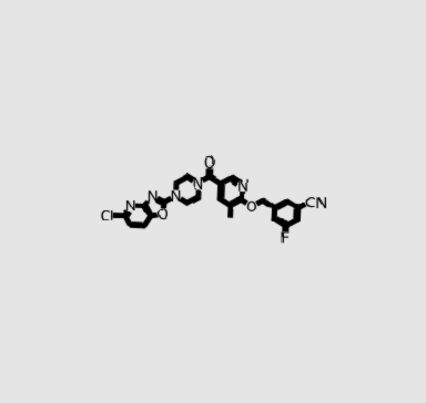 Cc1cc(C(=O)N2CCN(c3nc4nc(Cl)ccc4o3)CC2)cnc1OCc1cc(F)cc(C#N)c1